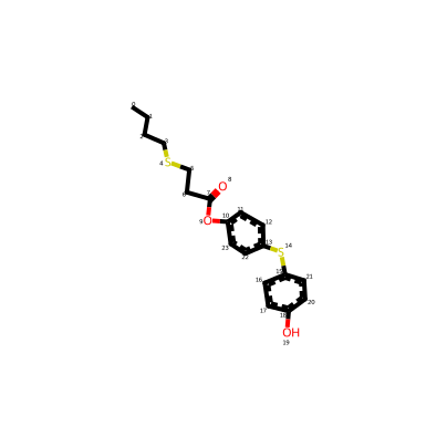 CCCCSCCC(=O)Oc1ccc(Sc2ccc(O)cc2)cc1